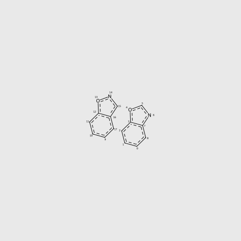 c1ccc2ocnc2c1.c1ccc2oncc2c1